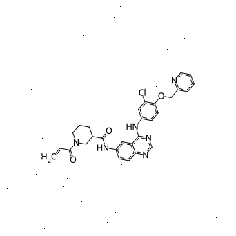 C=CC(=O)N1CCCC(C(=O)Nc2ccc3ncnc(Nc4ccc(OCc5ccccn5)c(Cl)c4)c3c2)C1